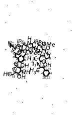 CCC(C)[C@@H]([C@@H](CC(=O)N1CCC[C@H]1[C@H](OC)[C@@H](C)C(=O)N[C@H](C)[C@@H](O)c1ccccc1)OC)N(C)C(=O)[C@@H](NC(=O)[C@H](C(C)C)N(C)C(=O)OCc1ccc(O[C@@H]2O[C@H](CO)[C@H](O)[C@H](O)[C@H]2O)c2cc(CN=[N+]=[N-])oc12)C(C)C